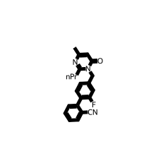 CCCc1nc(C)cc(=O)n1Cc1ccc(-c2ccccc2C#N)c(F)c1